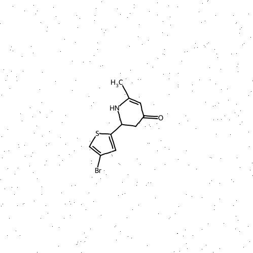 CC1=CC(=O)CC(c2cc(Br)cs2)N1